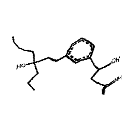 CCCC(O)(CCC)CCc1cccc(C(O)CC(C)=N)c1